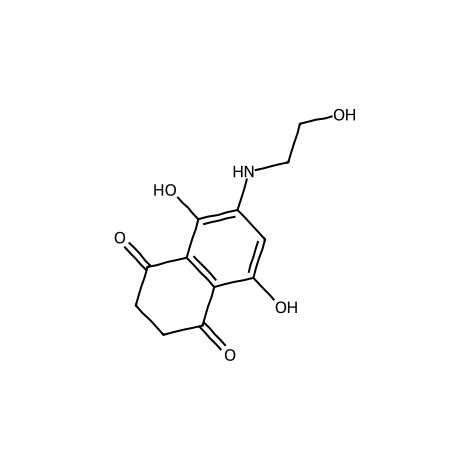 O=C1CCC(=O)c2c(O)c(NCCO)cc(O)c21